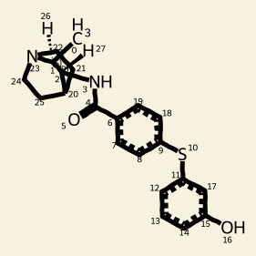 C[C@H]1[C@H](NC(=O)c2ccc(Sc3cccc(O)c3)cc2)C2CCN1CC2